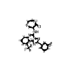 O=c1nccncc1Nc1nc2cccc(C(F)(F)F)c2c2nc(-c3cccc(F)c3)nn12